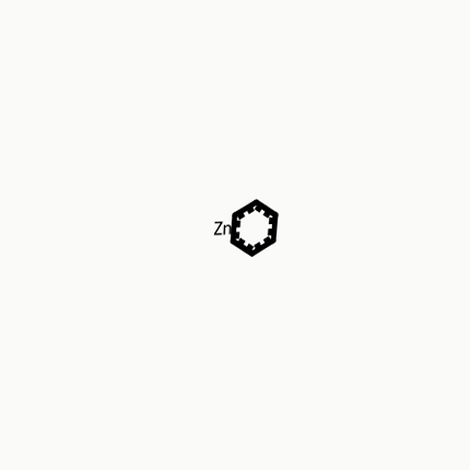 [Zn].c1ccccc1